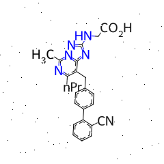 CCCc1nc(C)n2nc(NCC(=O)O)nc2c1Cc1ccc(-c2ccccc2C#N)cc1